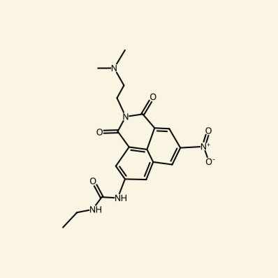 CCNC(=O)Nc1cc2c3c(cc([N+](=O)[O-])cc3c1)C(=O)N(CCN(C)C)C2=O